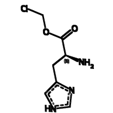 N[C@@H](Cc1c[nH]cn1)C(=O)OCCl